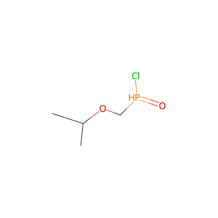 CC(C)OC[PH](=O)Cl